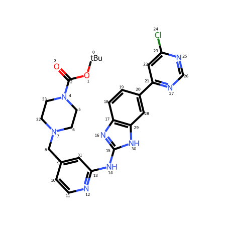 CC(C)(C)OC(=O)N1CCN(Cc2ccnc(Nc3nc4ccc(-c5cc(Cl)ncn5)cc4[nH]3)c2)CC1